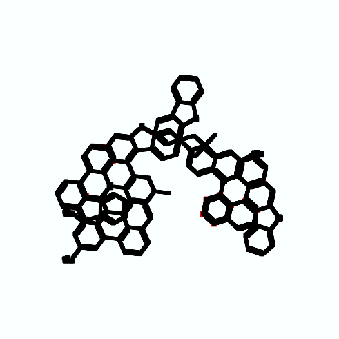 CC1C=CC(N(c2ccccc2-c2cccc3cccc(-c4cc(C(C)(C)C)cc(C(C)(C)C)c4)c23)c2ccccc2-c2cccc3oc4ccccc4c23)=C(c2cccc3sc4cc(CC(C)(C)c5cc(-c6cccc7cccc(-c8ccccc8N(c8ccc(-c9cccc%10c9sc9ccccc9%10)cc8)c8ccccc8-c8cccc9oc%10ccccc%10c89)c67)cc(C(C)(C)C)c5)ccc4c23)C1